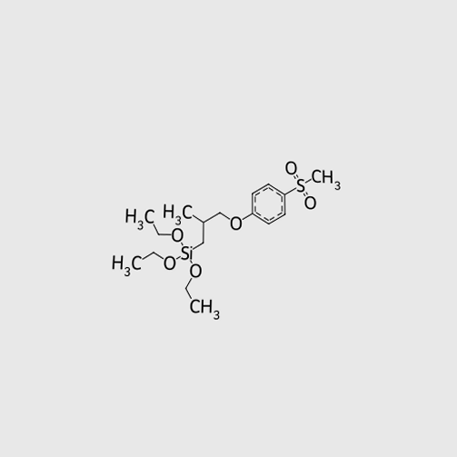 CCO[Si](CC(C)COc1ccc(S(C)(=O)=O)cc1)(OCC)OCC